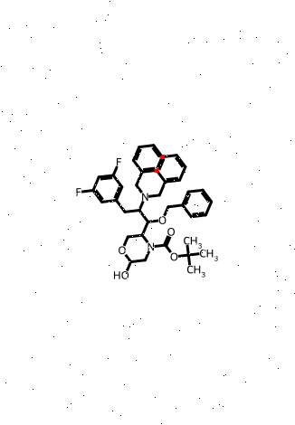 CC(C)(C)OC(=O)N1CC(O)OCC1C(OCc1ccccc1)C(Cc1cc(F)cc(F)c1)N(Cc1ccccc1)Cc1ccccc1